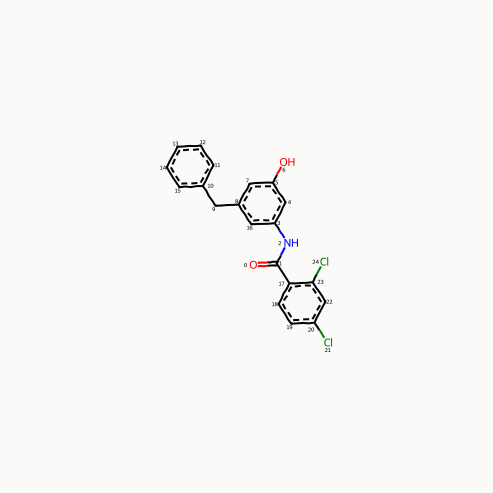 O=C(Nc1cc(O)cc(Cc2ccccc2)c1)c1ccc(Cl)cc1Cl